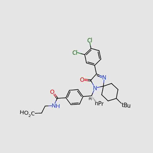 CCC[C@H](c1ccc(C(=O)NCCC(=O)O)cc1)N1C(=O)C(c2ccc(Cl)c(Cl)c2)=NC12CCC(C(C)(C)C)CC2